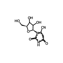 N#Cc1cc(=O)[nH]c(=O)n1[C@H]1O[C@@H](CO)C(O)C1O